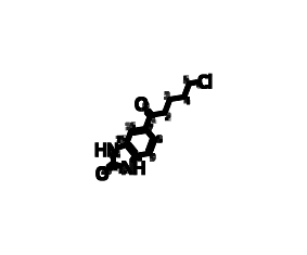 O=C(CCCCCl)c1ccc2[nH]c(=O)[nH]c2c1